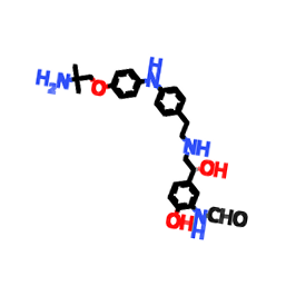 CC(C)(N)COc1ccc(Nc2ccc(CCNC[C@H](O)c3ccc(O)c(NC=O)c3)cc2)cc1